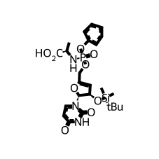 C[C@H](N[P@](=O)(OCC1=C[C@@H](O[Si](C)(C)C(C)(C)C)[C@H](n2ccc(=O)[nH]c2=O)O1)Oc1ccccc1)C(=O)O